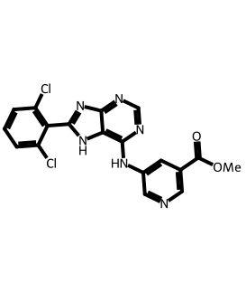 COC(=O)c1cncc(Nc2ncnc3nc(-c4c(Cl)cccc4Cl)[nH]c23)c1